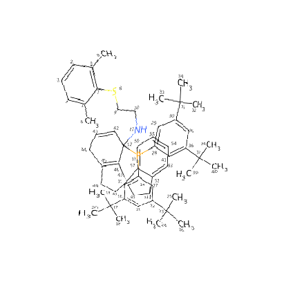 Cc1cccc(C)c1SCCNC1(P(c2cc(C(C)(C)C)cc(C(C)(C)C)c2)c2cc(C(C)(C)C)cc(C(C)(C)C)c2)C=CCC2=C1C1(CC2)CCc2ccccc21